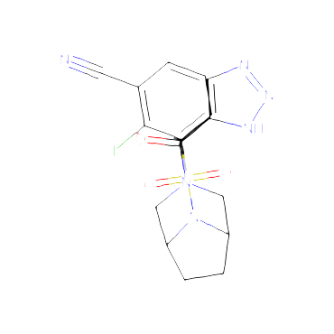 N#Cc1cccc(S(=O)(=O)N2C3CCC2CN(C(=O)c2cnn[nH]2)C3)c1Cl